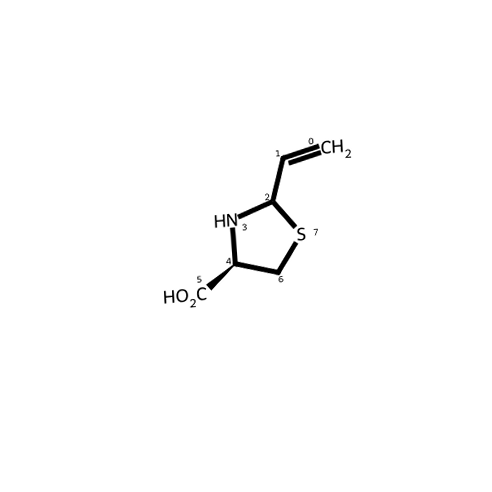 C=CC1N[C@H](C(=O)O)CS1